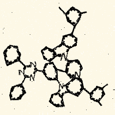 Cc1cc(C)cc(-c2ccc3c(c2)c2ccccc2n3-c2ccncc2-c2ccc(-c3nc(-c4ccccc4)nc(-c4ccccc4)n3)cc2-n2c3ccccc3c3cc(-c4cc(C)cc(C)c4)ccc32)c1